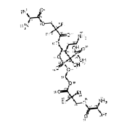 CCC(CC)(COC(=O)[C@@H](N)C(C)C)C(=O)OCOP(=O)(OCOC(=O)C(CC)(CC)COC(=O)[C@@H](N)C(C)C)C(O)(CCCN)P(=O)(O)O